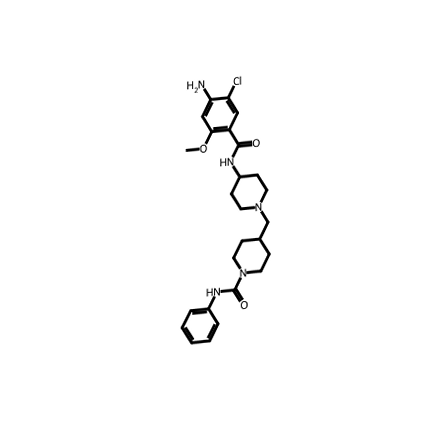 COc1cc(N)c(Cl)cc1C(=O)NC1CCN(CC2CCN(C(=O)Nc3ccccc3)CC2)CC1